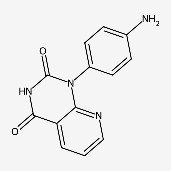 Nc1ccc(-n2c(=O)[nH]c(=O)c3cccnc32)cc1